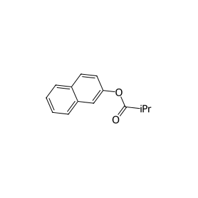 CC(C)C(=O)Oc1ccc2ccccc2c1